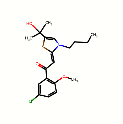 CCCCN1C=C(C(C)(C)O)S/C1=C\C(=O)c1cc(Cl)ccc1OC